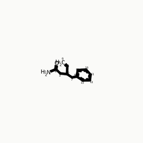 C=CC(CC(N)=O)Cc1ccccc1